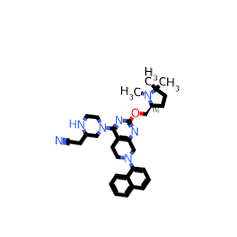 CN1[C@H](COc2nc3c(c(N4CCNC(CC#N)C4)n2)CCN(c2cccc4ccccc24)C3)CCC1(C)C